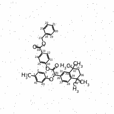 Cc1ccc(O[C@@H](C(=O)Oc2ccc(C(=O)OCc3ccccc3)cc2)c2ccc3c(c2)C(C)(C)CCC3(C)C)cc1